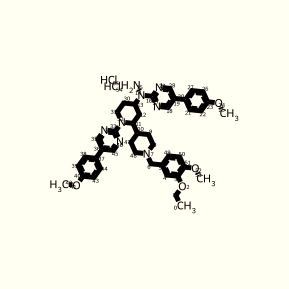 CCOc1cc(CN2CCC(C3CC(N(N)c4ncc(-c5ccc(OC)cc5)cn4)CCN3c3ncc(-c4ccc(OC)cc4)cn3)CC2)ccc1OC.Cl.Cl